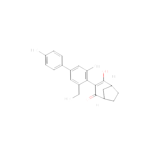 CCc1cc(-c2ccc(C)cc2)cc(C)c1C1=C(O)[C@H]2CC[C@H](C2)C1=O